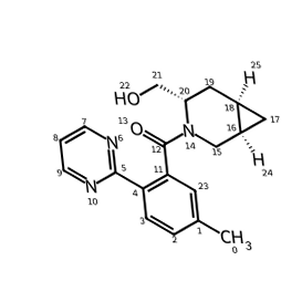 Cc1ccc(-c2ncccn2)c(C(=O)N2C[C@@H]3C[C@@H]3C[C@H]2CO)c1